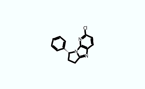 Clc1ccc2nc3n(c2n1)[C@@H](c1ccccc1)CC3